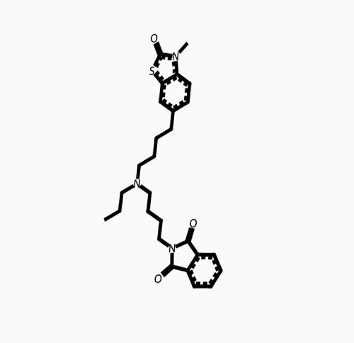 CCCN(CCCCc1ccc2c(c1)sc(=O)n2C)CCCCN1C(=O)c2ccccc2C1=O